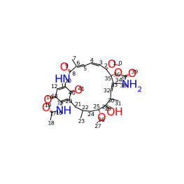 COC1/C=C\C=C(/C)C(=O)NC2=CC(=O)C(NC(C)=O)=C(CC(C)CC(OC)C(O)C(C)/C=C(\C)C1OC(N)=O)C2=O